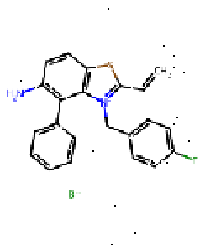 C=Cc1sc2ccc(N)c(-c3ccccc3)c2[n+]1Cc1ccc(F)cc1.[Br-]